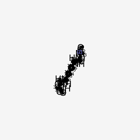 COO/C=N\[C@H](C(=O)N[C@@H](c1ncc(-c2ccc(-c3ccc(-c4cnc([C@H](NC(=O)[C@@H](NC(=O)OC)C(C)C)C(C)C)[nH]4)cc3)cc2)[nH]1)C(C)C)C(C)C